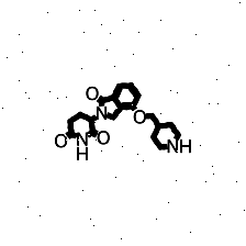 O=C1CCC(N2Cc3c(OCC4CCNCC4)cccc3C2=O)C(=O)N1